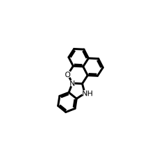 c1ccc2c(c1)NC1c3cccc4cccc(c34)ON21